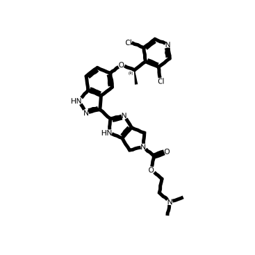 C[C@@H](Oc1ccc2[nH]nc(-c3nc4c([nH]3)CN(C(=O)OCCN(C)C)C4)c2c1)c1c(Cl)cncc1Cl